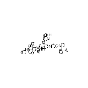 O=C(NS(=O)(=O)c1cc2c(c([N+](=O)[O-])c1)NC(C1CCOCC1)CO2)c1ccc(N2CCC3(CC2)CC(N2CCCC2c2ccccc2C2CC2)C3)cc1Oc1cnc2[nH]ccc2c1